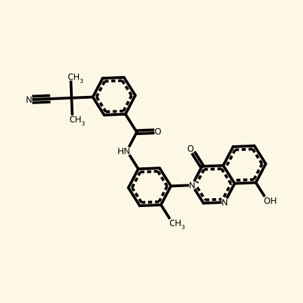 Cc1ccc(NC(=O)c2cccc(C(C)(C)C#N)c2)cc1-n1cnc2c(O)cccc2c1=O